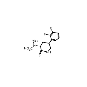 CC(C)(C)N(C(=O)O)[C@H]1C[C@@H](c2cccc(F)c2F)CNC1=S